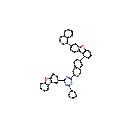 c1ccc(-c2nc(-c3ccc4cc(-c5cccc6oc7cc(-c8cccc9ccccc89)ccc7c56)ccc4c3)nc(-c3ccc4oc5ccccc5c4c3)n2)cc1